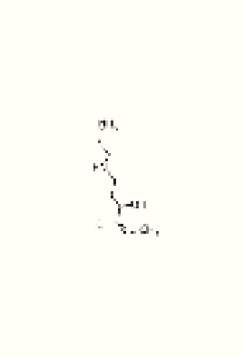 CC=C(C)C(O)CCNCCN